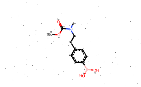 CN(CCc1ccc(B(O)O)cc1)C(=O)OC(C)(C)C